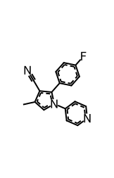 Cc1cn(-c2ccncc2)c(-c2ccc(F)cc2)c1C#N